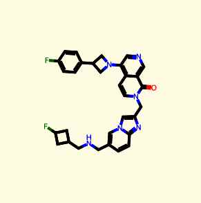 O=c1c2cncc(N3CC(c4ccc(F)cc4)C3)c2ccn1Cc1cn2cc(CNCC3CC(F)C3)ccc2n1